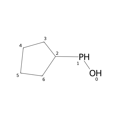 OPC1CCCC1